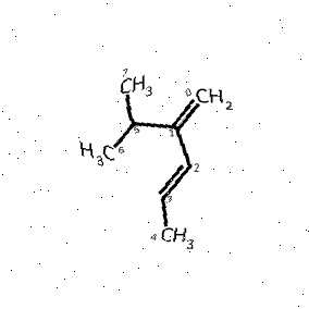 C=C(C=CC)C(C)C